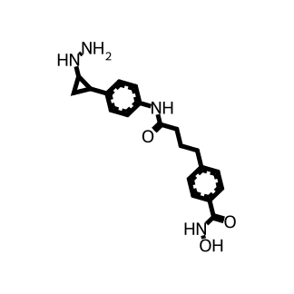 NNC1CC1c1ccc(NC(=O)CCCc2ccc(C(=O)NO)cc2)cc1